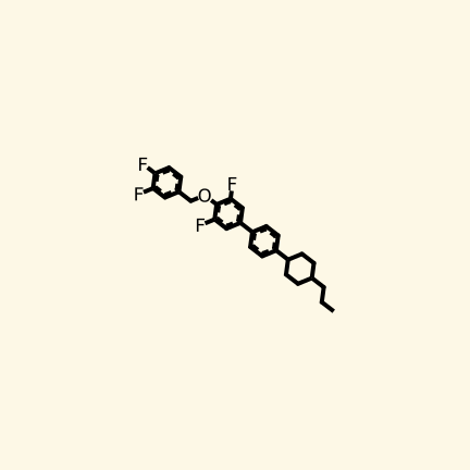 CCCC1CCC(c2ccc(-c3cc(F)c(OCc4ccc(F)c(F)c4)c(F)c3)cc2)CC1